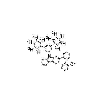 [2H]c1c([2H])c([2H])c(-c2cc(-c3c([2H])c([2H])c([2H])c([2H])c3[2H])cc(-n3c4ccccc4c4ccc(-c5ccccc5-c5ccccc5Br)cc43)c2)c([2H])c1[2H]